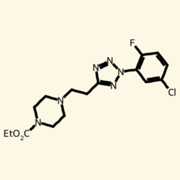 CCOC(=O)N1CCN(CCc2nnn(-c3cc(Cl)ccc3F)n2)CC1